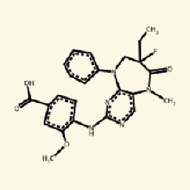 CCC1(F)CN(c2ccccc2)c2nc(Nc3ccc(C(=O)O)cc3OC)ncc2N(C)C1=O